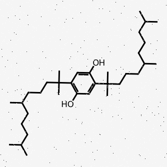 CC(C)CCCC(C)CCCC(C)(C)c1cc(O)c(C(C)(C)CCCC(C)CCCC(C)C)cc1O